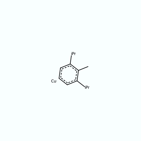 Cc1c(C(C)C)cccc1C(C)C.[Cu]